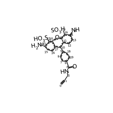 C#CCNC(=O)c1ccc(-c2c3ccc(=N)c(S(=O)(=O)O)c-3oc3c(S(=O)(=O)O)c(N)ccc23)cc1